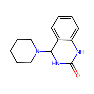 O=C1Nc2ccccc2C(N2CCCCC2)N1